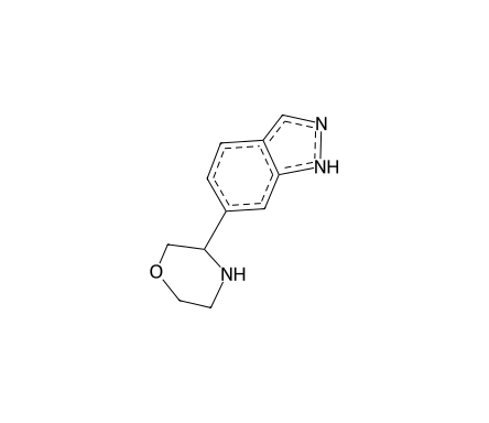 c1cc2cn[nH]c2cc1C1COCCN1